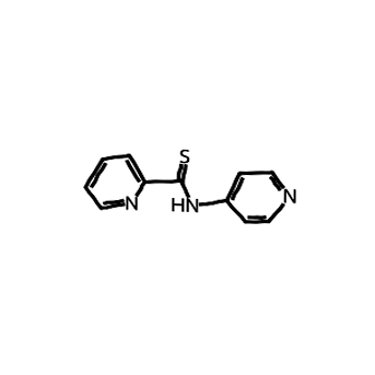 S=C(Nc1ccncc1)c1ccccn1